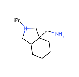 CC(C)N1CC2CCCCC2(CN)C1